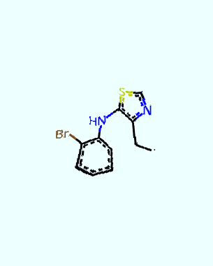 [CH2]Cc1ncsc1Nc1ccccc1Br